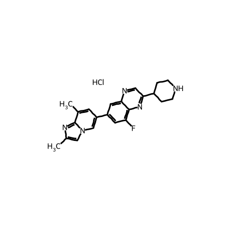 Cc1cn2cc(-c3cc(F)c4nc(C5CCNCC5)cnc4c3)cc(C)c2n1.Cl